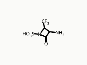 NC1C(=O)N(S(=O)(=O)O)C1C(F)(F)F